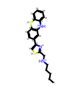 CCCCCNCc1nc(-c2ccc3c(c2)Nc2ccccc2S3)cs1